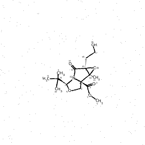 COC(=O)[C@@]12CO[C@@H](C(C)(C)C)N1C(=O)[C@@]1(CCO)O[C@@]21C